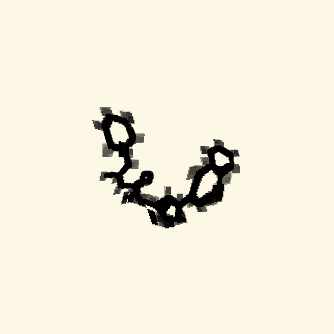 CC(CC(=O)Nc1cc(-c2cnc3ccccc3c2)n[nH]1)CN1CCCCC1